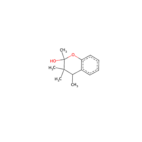 CC1c2ccccc2OC(C)(O)C1(C)C